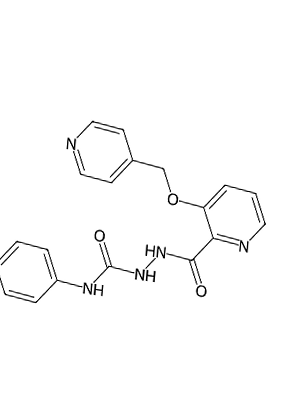 O=C(NNC(=O)c1ncccc1OCc1ccncc1)Nc1ccccc1